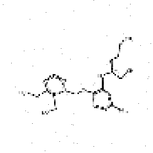 CCCC[C@@H](CO)Nc1nc(N)ncc1OCc1nccc(CC)c1CC